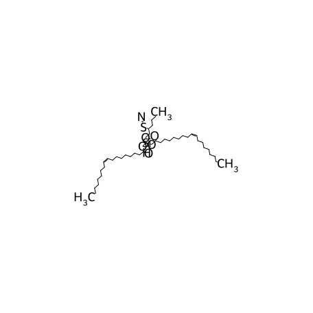 CCCCCCCC/C=C\CCCCCCCC(=O)O[SiH](OCC(CCCC)SC#N)OC(=O)CCCCCCC/C=C\CCCCCCCC